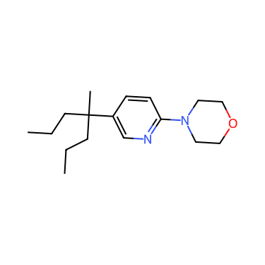 CCCC(C)(CCC)c1ccc(N2CCOCC2)nc1